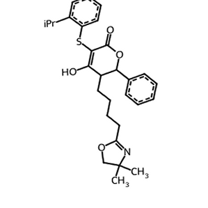 CC(C)c1ccccc1SC1=C(O)C(CCCCC2=NC(C)(C)CO2)C(c2ccccc2)OC1=O